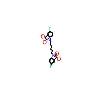 O=C1C(=O)N(CCCCCCN2C(=O)C(=O)c3cc(F)ccc32)c2ccc(F)cc21